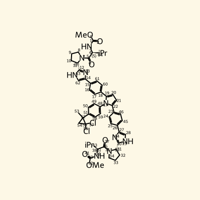 COC(=O)N[C@H](C(=O)N1CCC[C@H]1c1nc(-c2ccc(-c3ccc(-c4ccc(-c5c[nH]c([C@@H]6CCCN6C(=O)[C@@H](NC(=O)OC)C(C)C)n5)cc4)n3-c3ccc(C4(C)CC4(Cl)Cl)cc3)cc2)c[nH]1)C(C)C